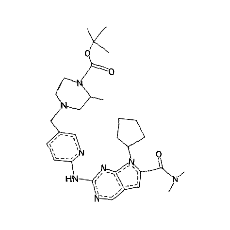 CC1CN(Cc2ccc(Nc3ncc4cc(C(=O)N(C)C)n(C5CCCC5)c4n3)nc2)CCN1C(=O)OC(C)(C)C